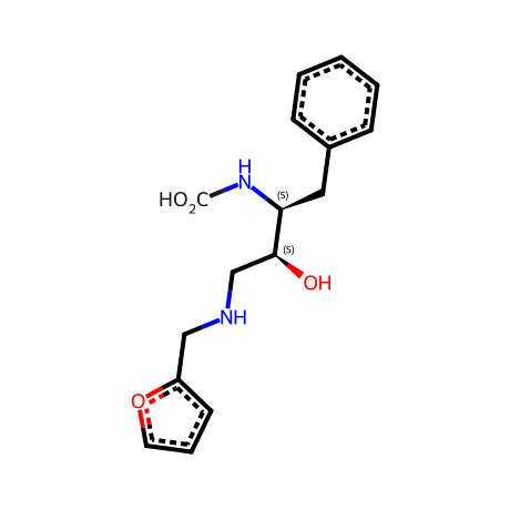 O=C(O)N[C@@H](Cc1ccccc1)[C@@H](O)CNCc1ccco1